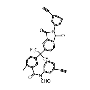 C#Cc1cccc(N(C=O)C(=O)c2cc(C(c3ccc4c(c3)C(=O)N(c3cccc(C#C)c3)C4=O)(C(F)(F)F)C(F)(F)F)ccc2C)c1